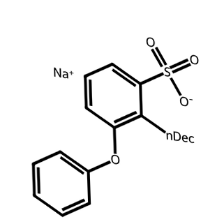 CCCCCCCCCCc1c(Oc2ccccc2)cccc1S(=O)(=O)[O-].[Na+]